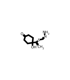 C=C(S/C=N\N)C1(O)CCC(=O)CC1